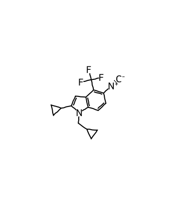 [C-]#[N+]c1ccc2c(cc(C3CC3)n2CC2CC2)c1C(F)(F)F